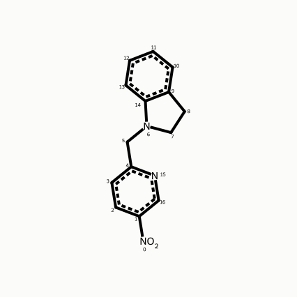 O=[N+]([O-])c1ccc(CN2CCc3ccccc32)nc1